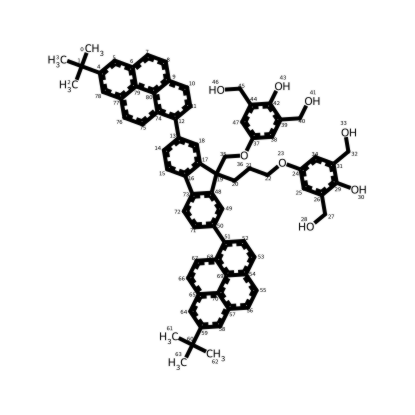 CC(C)(C)c1cc2ccc3ccc(-c4ccc5c(c4)C(CCCOc4cc(CO)c(O)c(CO)c4)(COc4cc(CO)c(O)c(CO)c4)c4cc(-c6ccc7ccc8cc(C(C)(C)C)cc9ccc6c7c89)ccc4-5)c4ccc(c1)c2c34